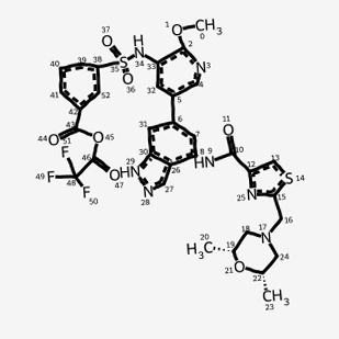 COc1ncc(-c2cc(NC(=O)c3csc(CN4C[C@@H](C)O[C@@H](C)C4)n3)c3cn[nH]c3c2)cc1NS(=O)(=O)c1cccc(C(=O)OC(=O)C(F)(F)F)c1